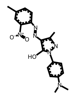 Cc1ccc(N=Nc2c(C)nn(-c3ccc(N(C)C)cc3)c2O)c([N+](=O)[O-])c1